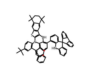 CC(C)(C)c1ccc(N2c3sc4cc5c(cc4c3Bc3c(-c4cccc6c4Nc4ccccc4C64c6ccccc6-c6ccccc64)cc4c(oc6ccccc64)c32)C(C)(C)CCC5(C)C)c(-c2ccccc2)c1